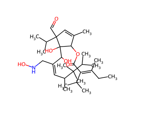 CC/C(C)=C(/C(=O)OC1C(C)=CC(C=O)(C(C)C)C1(O)C(O)/C(=C\C(C)C(C)(C)C(C)C)CNO)C(C)C